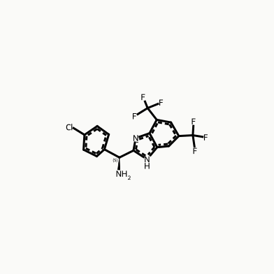 N[C@@H](c1ccc(Cl)cc1)c1nc2c(C(F)(F)F)cc(C(F)(F)F)cc2[nH]1